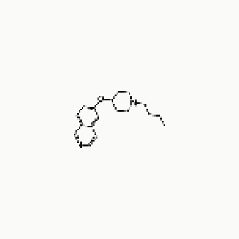 CCCCN1CCC(Oc2ccc3cnccc3c2)CC1